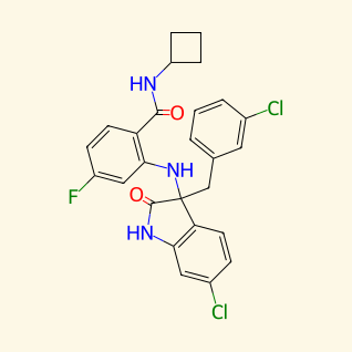 O=C(NC1CCC1)c1ccc(F)cc1NC1(Cc2cccc(Cl)c2)C(=O)Nc2cc(Cl)ccc21